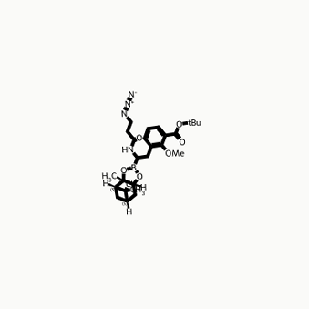 COc1c(CC(NC(=O)CCN=[N+]=[N-])B2O[C@@H]3C[C@@H]4C[C@@H](C4(C)C)[C@]3(C)O2)cccc1C(=O)OC(C)(C)C